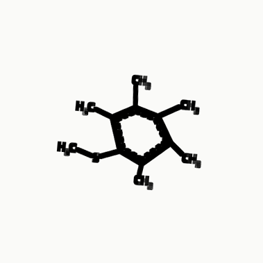 CSc1c(C)c(C)c(C)c(C)c1C